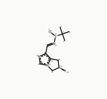 CC(C)(C)[S+]([O-])N=Cc1ncn2c1C[C@@H](F)C2